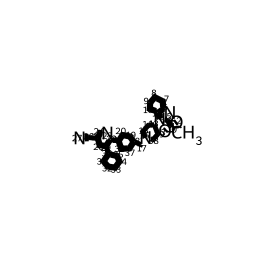 CS(=O)(=O)c1nc2ccccc2n1C1CCN(Cc2ccc(-c3ncc(C#N)cc3-c3ccccc3)cc2)CC1